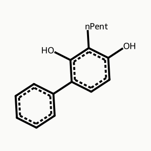 CCCCCc1c(O)ccc(-c2ccccc2)c1O